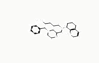 NCCCCN(CC1CN(Cc2ccccc2)CCN1)[C@H]1CCCC2=C1NCC=C2